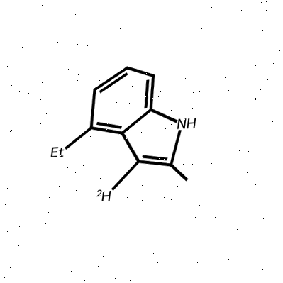 [2H]c1c(C)[nH]c2cccc(CC)c12